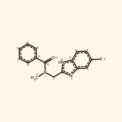 CN(Cc1nc2cc(F)ccc2[nH]1)C(=O)c1ccccc1